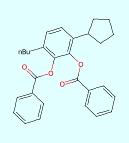 CCCCc1ccc(C2CCCC2)c(OC(=O)c2ccccc2)c1OC(=O)c1ccccc1